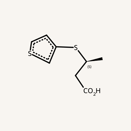 C[C@@H](CC(=O)O)Sc1ccsc1